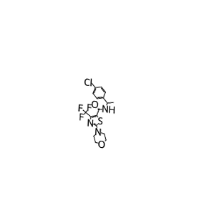 CC(NC(=O)c1sc(N2CCOCC2)nc1C(F)(F)F)c1ccc(Cl)cc1